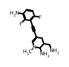 CN1C=C(C#Cc2c(F)ccc(N)c2F)CC(CN)C1N